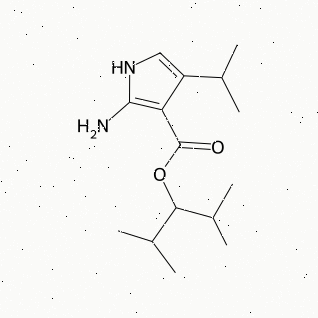 CC(C)c1c[nH]c(N)c1C(=O)OC(C(C)C)C(C)C